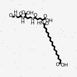 O=CNCC(=O)NC(CCNC(=O)CCC(NC(=O)CCCCCCCCCCCCCCCCC(=O)O)C(=O)O)C(=O)O